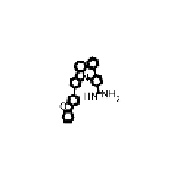 N=C(N)c1ccc(-c2ccccc2)c(-n2c3ccccc3c3ccc(-c4ccc5c(c4)oc4ccccc45)cc32)c1